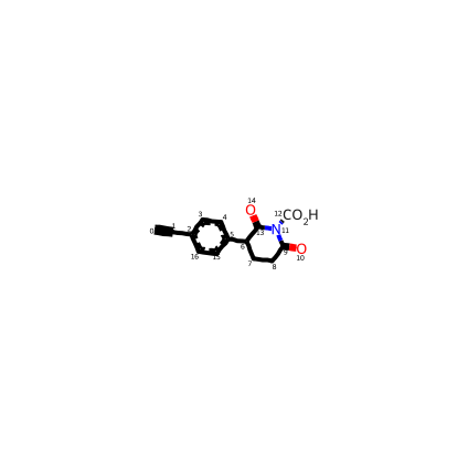 C#Cc1ccc(C2CCC(=O)N(C(=O)O)C2=O)cc1